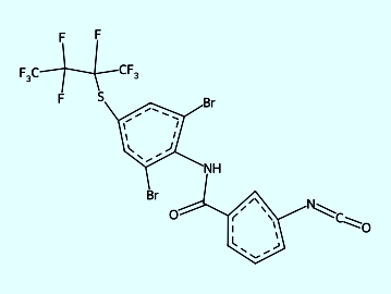 O=C=Nc1cccc(C(=O)Nc2c(Br)cc(SC(F)(C(F)(F)F)C(F)(F)C(F)(F)F)cc2Br)c1